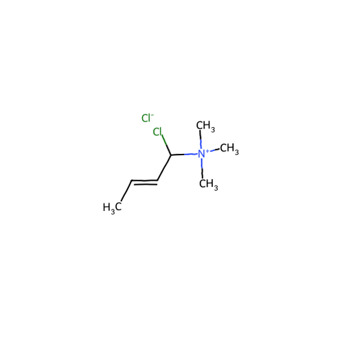 C/C=C/C(Cl)[N+](C)(C)C.[Cl-]